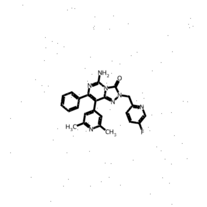 Cc1cc(-c2c(-c3ccccc3)nc(N)n3c(=O)n(Cc4ccc(F)cn4)nc23)cc(C)n1